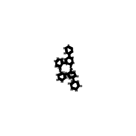 c1ccc(-c2ccc3c(c2)-c2ccccc2Sc2ccccc2-c2cc(-c4ccccc4)ccc2S3)cc1